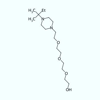 CCC(C)(C)N1CCN(CCOCCOCCOCCO)CC1